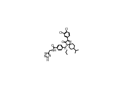 CCC[C@H](c1ccc(C(=O)NCc2nn[nH]n2)cc1)N1C(=O)C(c2ccc(Cl)c(Cl)c2)=NC12CCC(C(C)C)CC2